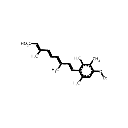 CCOc1cc(C)c(/C=C/C(C)=C/C=C/C(C)=C/C(=O)O)c(C)c1C